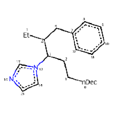 CCCCCCCCCCCCC(C(CC)Cc1ccccc1)n1ccnc1